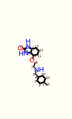 Cc1ccc(CNCCOc2cccc3[nH]c(=O)[nH]c23)cc1